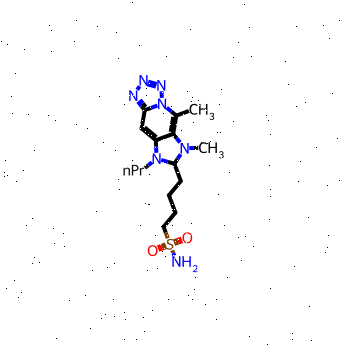 CCCN1c2cc3nnnn3c(C)c2N(C)C1CCCCS(N)(=O)=O